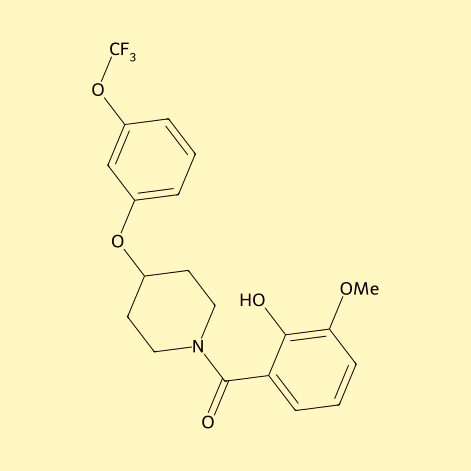 COc1cccc(C(=O)N2CCC(Oc3cccc(OC(F)(F)F)c3)CC2)c1O